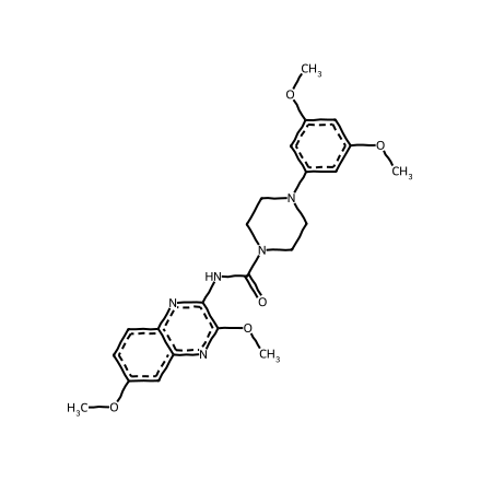 COc1cc(OC)cc(N2CCN(C(=O)Nc3nc4ccc(OC)cc4nc3OC)CC2)c1